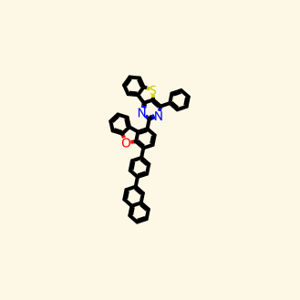 c1ccc(-c2nc(-c3ccc(-c4ccc(-c5ccc6ccccc6c5)cc4)c4oc5ccccc5c34)nc3c2sc2ccccc23)cc1